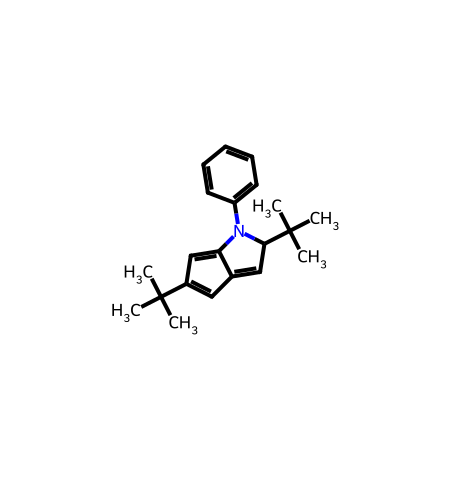 CC(C)(C)C1=CC2=CC(C(C)(C)C)N(c3ccccc3)C2=C1